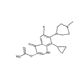 CN1CCN(c2c(F)cc3c(=O)c(OC(=O)O)c[nH]c3c2C2CC2)CC1